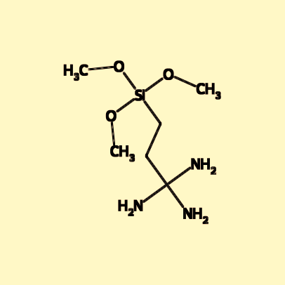 CO[Si](CCC(N)(N)N)(OC)OC